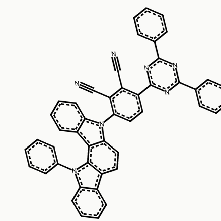 N#Cc1c(-c2nc(-c3ccccc3)nc(-c3ccccc3)n2)ccc(-n2c3ccccc3c3c2ccc2c4ccccc4n(-c4ccccc4)c23)c1C#N